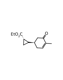 CCOC(=O)[C@H]1CC1[C@@H]1CC=C(C)C(=O)C1